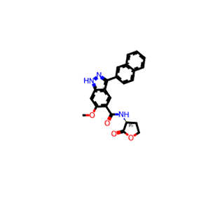 COc1cc2[nH]nc(-c3ccc4ccccc4c3)c2cc1C(=O)N[C@@H]1CCOC1=O